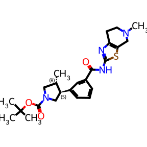 C[C@H]1CN(C(=O)OC(C)(C)C)C[C@@H]1c1cccc(C(=O)Nc2nc3c(s2)CN(C)CC3)c1